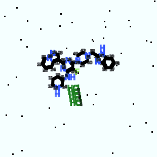 Cl.Cl.Cl.Cl.Cl.Fc1c(N[C@@H]2CCCNC2)nc(-c2cnn3ccccc23)nc1N1CCN(Cc2nc3ccccc3[nH]2)CC1